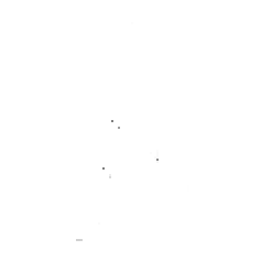 Cc1c(Br)cccc1Nc1nc(C(F)(F)F)cc(=O)n1C